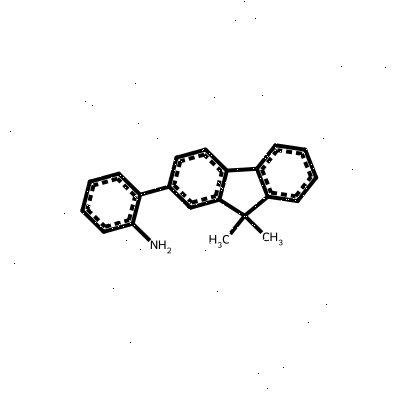 CC1(C)c2ccccc2-c2ccc(-c3ccccc3N)cc21